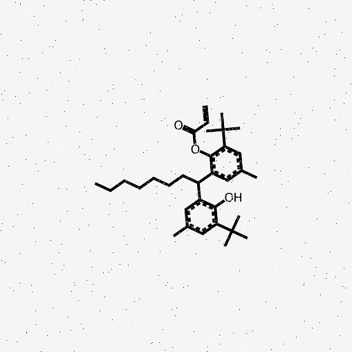 C=CC(=O)Oc1c(C(CCCCCCC)c2cc(C)cc(C(C)(C)C)c2O)cc(C)cc1C(C)(C)C